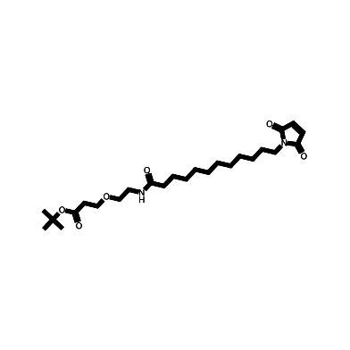 CC(C)(C)OC(=O)CCOCCNC(=O)CCCCCCCCCCCN1C(=O)C=CC1=O